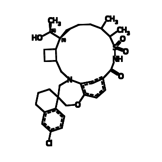 CC1CCC[C@H]([C@H](C)O)C2CCC2CN2CC3(CCCc4cc(Cl)ccc43)COc3ccc(cc32)C(=O)NS(=O)(=O)C1C